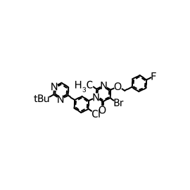 Cc1nc(OCc2ccc(F)cc2)c(Br)c(=O)n1-c1cc(-c2ccnc(C(C)(C)C)n2)ccc1Cl